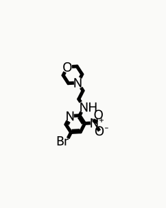 O=[N+]([O-])c1cc(Br)cnc1NCCN1CCOCC1